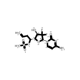 C=CCC(OS(C)(=O)=O)[C@H]1O[C@@H](n2ccc(N)nc2=O)C(F)(F)[C@@H]1O